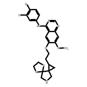 COc1cc2ncnc(Nc3ccc(Cl)c(Cl)c3)c2cc1OCCC1CC12CNCC21OCCO1